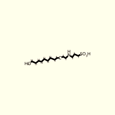 O=S(=O)(O)CCCNCCCCCCCCCCCCO